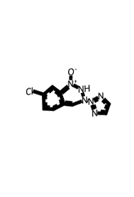 [O-][N+]1=c2cc(Cl)ccc2=CN(n2nccn2)N1